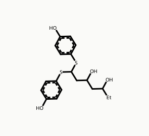 CCC(O)CC(O)CC(Sc1ccc(O)cc1)Sc1ccc(O)cc1